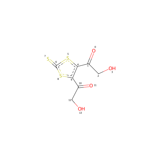 O=C(CO)c1sc(=S)sc1C(=O)CO